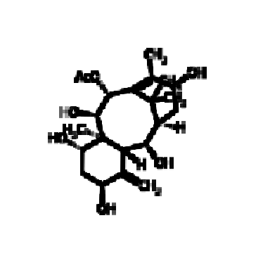 C=C1[C@@H](O)C[C@H](O)[C@@]2(C)[C@@H](O)[C@H](OC(C)=O)C3=C(C)[C@@H](O)C[C@@H]([C@@H](O)[C@H]12)C3(C)C